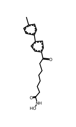 Cc1ccc(-c2ccc(C(=O)CCCCCCC(=O)NO)cc2)cc1